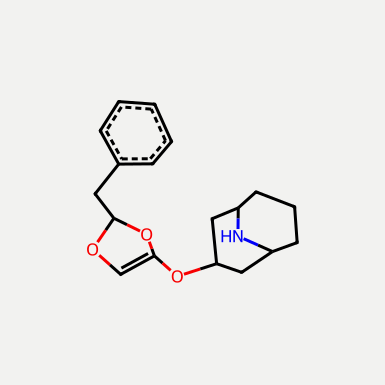 C1=C(OC2CC3CCCC(C2)N3)OC(Cc2ccccc2)O1